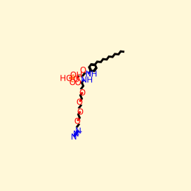 CCCCCCCCCCc1ccc(NC(=O)[C@@H](COP(=O)(O)O)NC(=O)CCOCCOCCOCCOCCN=[N+]=[N-])cc1